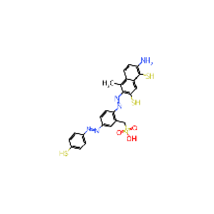 Cc1c(N=Nc2ccc(N=Nc3ccc(S)cc3)cc2CS(=O)(=O)O)c(S)cc2c(S)c(N)ccc12